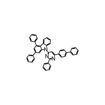 c1ccc(-c2ccc(-c3cc(-n4c5ccccc5c5c(-c6ccccc6)cc(-c6ccccc6)cc54)nc(-c4ccccc4)n3)cc2)cc1